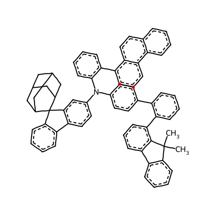 CC1(C)c2ccccc2-c2cccc(-c3ccccc3-c3ccc(N(c4ccc5c(c4)C4(c6ccccc6-5)C5CC6CC(C5)CC4C6)c4ccccc4-c4cccc5c4ccc4ccccc45)cc3)c21